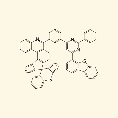 c1ccc(-c2nc(-c3cccc(-c4nc5ccccc5c5c6c(ccc45)C4(c5ccccc5Sc5ccccc54)c4ccccc4-6)c3)cc(-c3cccc4c3sc3ccccc34)n2)cc1